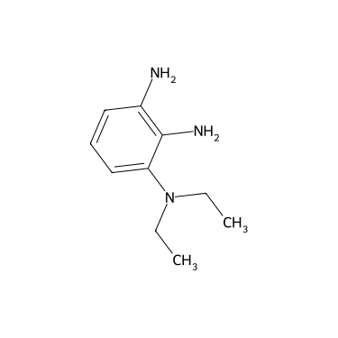 CCN(CC)c1cccc(N)c1N